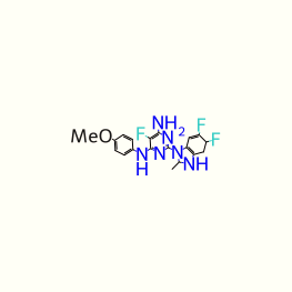 COc1ccc(Nc2nc(N3C4=C(CC(F)C(F)=C4)NC3C)nc(N)c2F)cc1